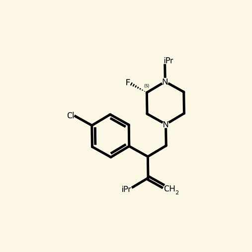 C=C(C(C)C)C(CN1CCN(C(C)C)[C@@H](F)C1)c1ccc(Cl)cc1